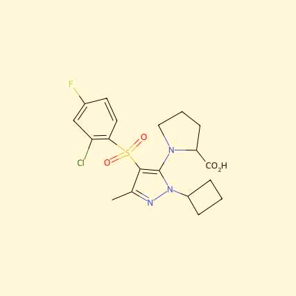 Cc1nn(C2CCC2)c(N2CCCC2C(=O)O)c1S(=O)(=O)c1ccc(F)cc1Cl